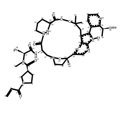 C=CC(=O)N1CC[C@H](C(=O)N(C)[C@H](C(=O)N[C@H]2CN3CC[C@H](C3)c3cnc4c(c3)c(c(-c3cccnc3[C@H](C)OC)n4CC)CC(C)(C)COC(=O)[C@@H]3CCCN(N3)C2=O)C(C)C)C1